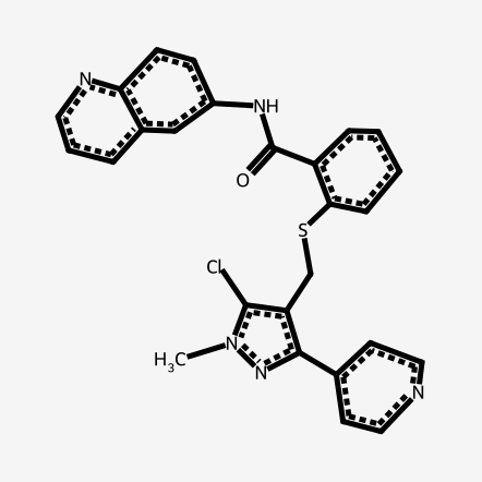 Cn1nc(-c2ccncc2)c(CSc2ccccc2C(=O)Nc2ccc3ncccc3c2)c1Cl